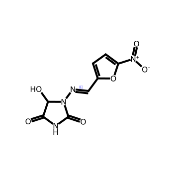 O=C1NC(=O)N(/N=C/c2ccc([N+](=O)[O-])o2)C1O